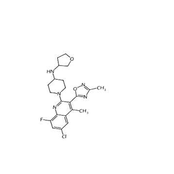 Cc1noc(-c2c(N3CCC(NC4CCOC4)CC3)nc3c(F)cc(Cl)cc3c2C)n1